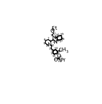 CCOCCn1c(C2CCCCN2CCc2ccc(OC(=O)C(C)C)c(C)c2)nc2ccccc21